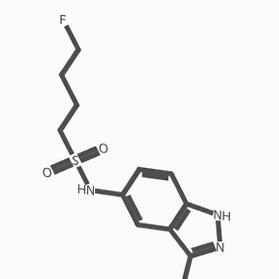 Cc1n[nH]c2ccc(NS(=O)(=O)CCCCF)cc12